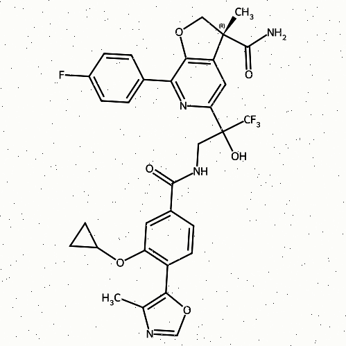 Cc1ncoc1-c1ccc(C(=O)NCC(O)(c2cc3c(c(-c4ccc(F)cc4)n2)OC[C@]3(C)C(N)=O)C(F)(F)F)cc1OC1CC1